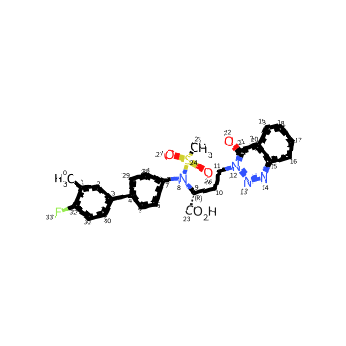 Cc1cc(-c2ccc(N([C@H](CCn3nnc4ccccc4c3=O)C(=O)O)S(C)(=O)=O)cc2)ccc1F